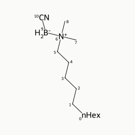 CCCCCCCCCCC[N+](C)(C)[BH2-]C#N